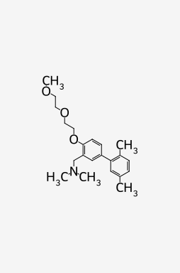 COCCOCCOc1ccc(-c2cc(C)ccc2C)cc1CN(C)C